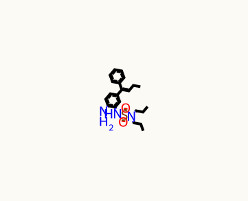 CC/C=C(\c1ccccc1)c1ccc(N)c(NS(=O)(=O)N(CCC)CCC)c1